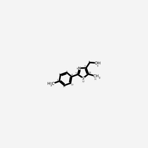 Cc1ccc(-c2nc(CO)c(C)s2)cc1